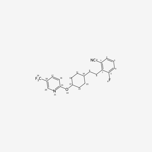 N#Cc1cccc(F)c1CCC1CCC(Oc2ccc(C(F)(F)F)cn2)CC1